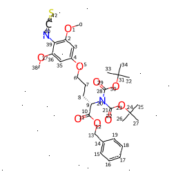 COc1cc(OCCC[C@@H](C(=O)OCc2ccccc2)N(C(=O)OC(C)(C)C)C(=O)OC(C)(C)C)cc(OC)c1N=C=S